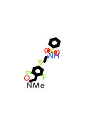 CNC(=O)Cc1c(F)cc(SCCNS(=O)(=O)c2ccccc2)cc1F